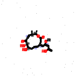 C=C(O)\C=C(/C=C1/C=C/C[C@H](O)[C@H](O)C(=O)/C=C\[C@@H](C)[C@H](C)OC(=O)C1)OCC